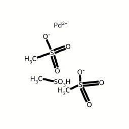 CS(=O)(=O)O.CS(=O)(=O)[O-].CS(=O)(=O)[O-].[Pd+2]